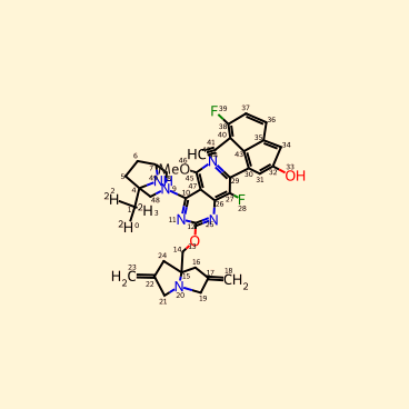 [2H]C([2H])([2H])C12CCC(CN(c3nc(OCC45CC(=C)CN4CC(=C)C5)nc4c(F)c(-c5cc(O)cc6ccc(F)c(C#C)c56)nc(OC)c34)C1)N2